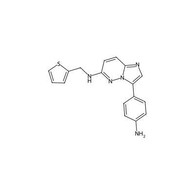 Nc1ccc(-c2cnc3ccc(NCc4cccs4)nn23)cc1